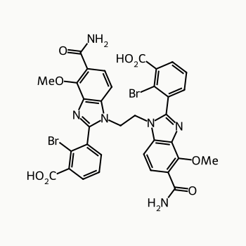 COc1c(C(N)=O)ccc2c1nc(-c1cccc(C(=O)O)c1Br)n2CCn1c(-c2cccc(C(=O)O)c2Br)nc2c(OC)c(C(N)=O)ccc21